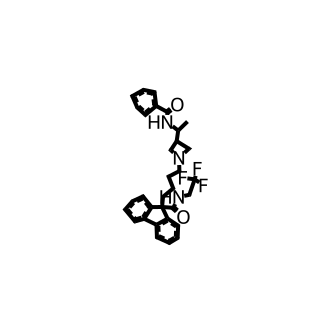 CC(NC(=O)c1ccccc1)C1CN(CCCCC2(C(=O)NCC(F)(F)F)c3ccccc3-c3ccccc32)C1